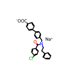 O=C([O-])c1ccc(-c2ccc(CN(CCc3ccccc3)C(=O)c3ccc(Cl)cc3)cc2)cc1.[Na+]